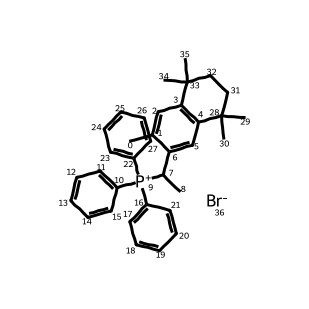 Cc1cc2c(cc1C(C)[P+](c1ccccc1)(c1ccccc1)c1ccccc1)C(C)(C)CCC2(C)C.[Br-]